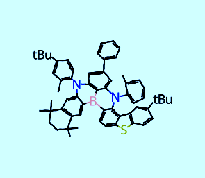 Cc1cc(C(C)(C)C)ccc1N1c2cc3c(cc2B2c4ccc5sc6ccc(C(C)(C)C)cc6c5c4N(c4ccccc4C)c4cc(-c5ccccc5)cc1c42)C(C)(C)CCC3(C)C